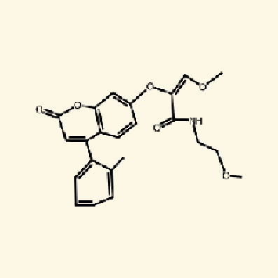 COC=C(Oc1ccc2c(-c3ccccc3C)cc(=O)oc2c1)C(=O)NCCOC